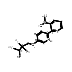 CC[S+]([O-])c1cccnc1-c1ccc(OCC(F)(F)C(F)F)cn1